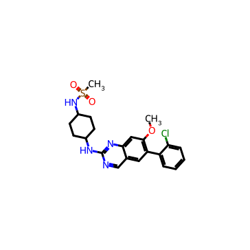 COc1cc2nc(NC3CCC(NS(C)(=O)=O)CC3)ncc2cc1-c1ccccc1Cl